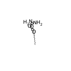 CCCCCCCCCCCCOc1ccc(COC(=O)c2cc(N)cc(N)c2)cc1